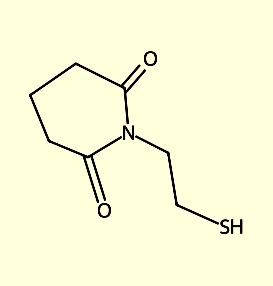 O=C1CCCC(=O)N1CCS